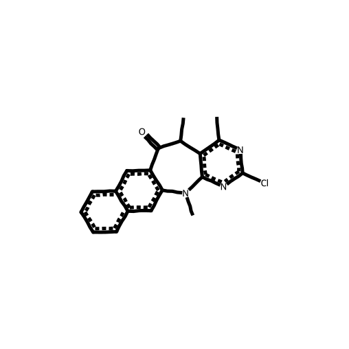 Cc1nc(Cl)nc2c1C(C)C(=O)c1cc3ccccc3cc1N2C